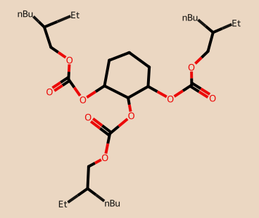 CCCCC(CC)COC(=O)OC1CCCC(OC(=O)OCC(CC)CCCC)C1OC(=O)OCC(CC)CCCC